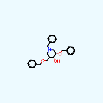 O[C@@H]1[C@@H](COCc2ccccc2)CN(Cc2ccccc2)C[C@H]1OCc1ccccc1